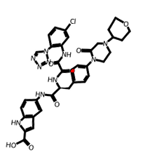 O=C(Nc1cc(Cl)ccc1-n1cnnn1)C(=O)N[C@@H](Cc1ccc(N2CCN(C3CCOCC3)CC2=O)cc1)C(=O)Nc1ccc2[nH]c(C(=O)O)cc2c1